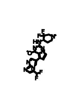 COc1nc(N[C@@H]2CCN(C)CC2(F)F)nn2ccc(-c3cnc4ncc(C(F)F)n4c3)c12